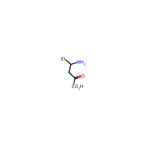 CCC(N)CC(=O)C(=O)O